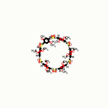 COC1C[C@@H]2CS(=O)(=O)C[C@@H]3CC(OC)[C@@H](CC3OC)S(=O)(=O)[C@@H]3CC(OC)[C@@H](CC3OC)CS(=O)(=O)C[C@H]3CC(OC)[C@H](CC3OC)CS(=O)(=O)C[C@H]3CC(OC)[C@H](C[C@H]3OC)CS(=O)(=O)C[C@@H]3CC(OC)[C@@H](CC3OC)CS(=O)(=O)C[C@H]1CC2OC